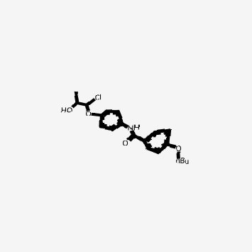 CCCCOc1ccc(C(=O)Nc2ccc(OC(Cl)C(C)O)cc2)cc1